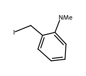 CNc1ccccc1CI